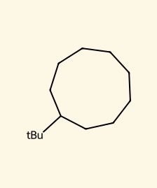 CC(C)(C)C1CCCCCCCC1